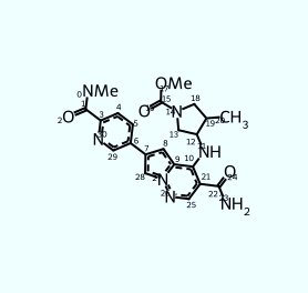 CNC(=O)c1ccc(-c2cc3c(NC4CN(C(=O)OC)CC4C)c(C(N)=O)cnn3c2)cn1